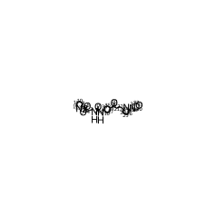 O=C(NCCS(=O)(=O)c1ccccn1)Nc1ccc(C(=O)C=Cc2cccc(N3CCOCC3)n2)cc1